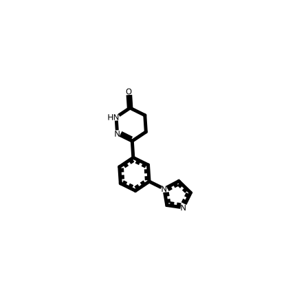 O=C1CCC(c2cccc(-n3ccnc3)c2)=NN1